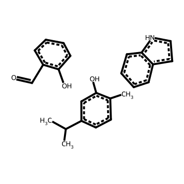 Cc1ccc(C(C)C)cc1O.O=Cc1ccccc1O.c1ccc2[nH]ccc2c1